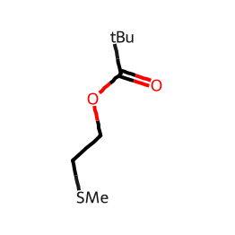 CSCCOC(=O)C(C)(C)C